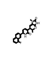 CC(C)C(C=C1C(=O)NC(=O)N1C)c1ccc(-c2ccc3cccc(F)c3c2)[nH]c1=O